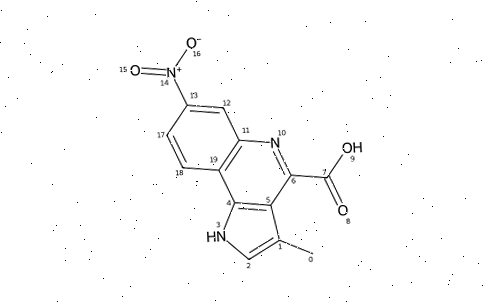 Cc1c[nH]c2c1c(C(=O)O)nc1cc([N+](=O)[O-])ccc12